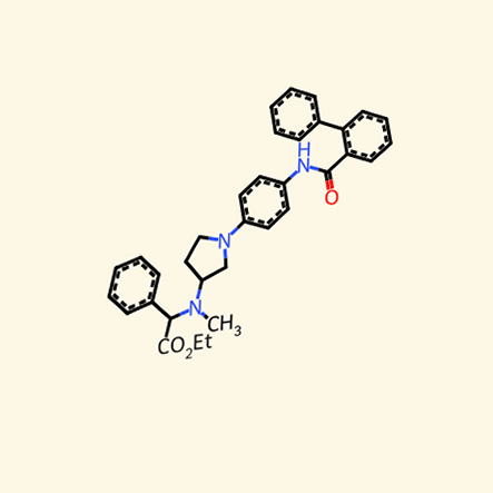 CCOC(=O)C(c1ccccc1)N(C)C1CCN(c2ccc(NC(=O)c3ccccc3-c3ccccc3)cc2)C1